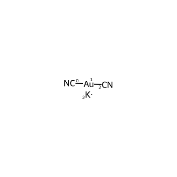 N#[C][Au][C]#N.[K]